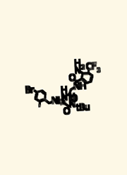 Cc1cc(Br)ccc1CNC[C@H](NC(=O)CNC(=O)c1cccc(C(F)(F)F)c1N)C(=O)NC(C)(C)C